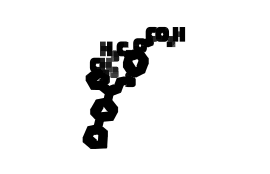 Cc1ccc(/C(=C\CSc2ccc(OCC(=O)O)c(C)c2)c2ccc(-c3ccccc3)cc2)s1